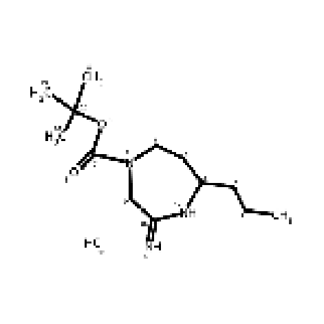 CCCC1CCN(C(=O)OC(C)(C)C)CC(=N)N1.Cl